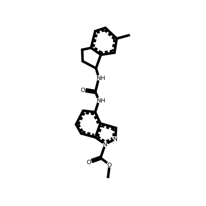 COC(=O)n1ncc2c(NC(=O)NC3CCc4ccc(C)cc43)cccc21